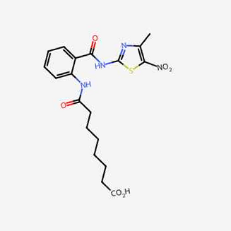 Cc1nc(NC(=O)c2ccccc2NC(=O)CCCCCCC(=O)O)sc1[N+](=O)[O-]